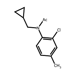 CC(=O)N(CC1CC1)c1ccc(C)cc1Cl